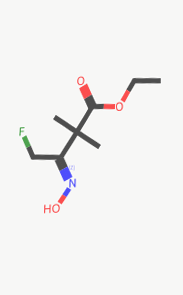 CCOC(=O)C(C)(C)/C(CF)=N/O